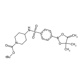 C=C1OB(c2ccc(S(=O)(=O)NC3CCN(C(=O)OC(C)(C)C)CC3)cc2)OC1(C)C